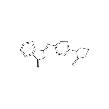 O=C1OC(=Nc2ccc(N3CCCC3=O)cc2)c2nccnc21